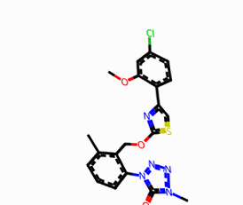 COc1cc(Cl)ccc1-c1csc(OCc2c(C)cccc2-n2nnn(C)c2=O)n1